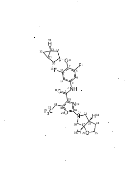 O=C(Nc1cc(F)c(O[C@@H]2CC3C[C@@H]3C2)c(F)c1)c1nc(N2C[C@@H]3CCO[C@@H]3C2)oc1CC(F)(F)F